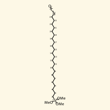 CO[Si](CCCCCCCCCCCCCCCCCCCCCCCN=C=O)(OC)OC